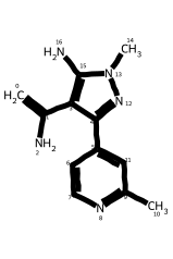 C=C(N)c1c(-c2ccnc(C)c2)nn(C)c1N